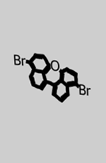 Brc1ccc2oc3ccc(Br)c4cccc(c5cccc1c25)c34